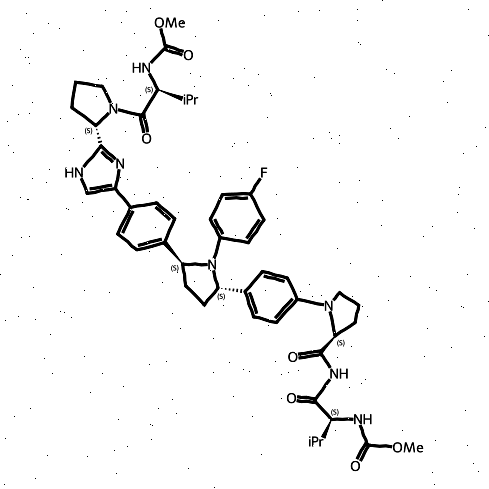 COC(=O)N[C@H](C(=O)NC(=O)[C@@H]1CCCN1c1ccc([C@@H]2CC[C@@H](c3ccc(-c4c[nH]c([C@@H]5CCCN5C(=O)[C@@H](NC(=O)OC)C(C)C)n4)cc3)N2c2ccc(F)cc2)cc1)C(C)C